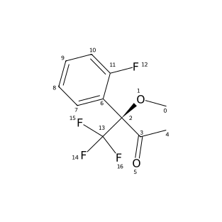 CO[C@](C(C)=O)(c1ccccc1F)C(F)(F)F